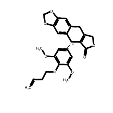 C=CCCOc1c(OC)cc([C@H]2C3=C(COC3=O)Cc3cc4c(cc32)OCO4)cc1OC